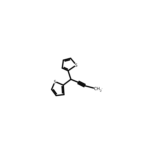 [CH2]C#CC(c1cccs1)c1cccs1